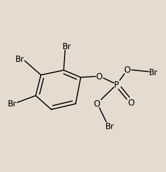 O=P(OBr)(OBr)Oc1ccc(Br)c(Br)c1Br